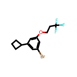 FC(F)(F)CCOc1cc(Br)cc(C2CCC2)c1